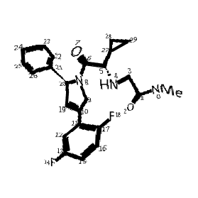 CNC(=O)CN[C@H](C(=O)N1CC(c2cc(F)ccc2F)=C[C@H]1c1ccccc1)C1CC1